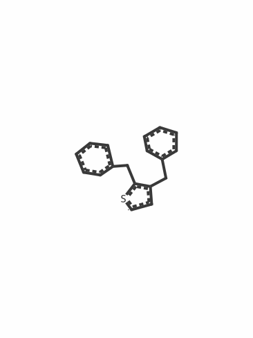 [c]1cc(Cc2ccccc2)c(Cc2ccccc2)s1